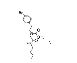 CCCCNC(=O)CN(CCc1ccc(Br)cc1)C(=O)OCCCC